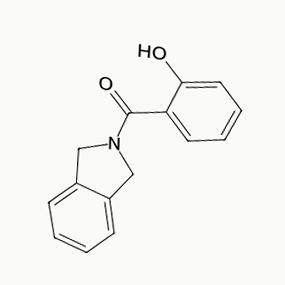 O=C(c1ccccc1O)N1Cc2ccccc2C1